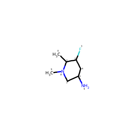 CC1C(F)CC(N)CN1C